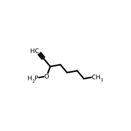 C#CC(CCCCC)OP